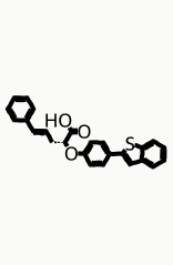 O=C(O)[C@@H](CC=Cc1ccccc1)Oc1ccc(-c2cc3ccccc3s2)cc1